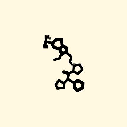 CCn1c(CC[C@@H]2CCCN2C(=O)C(c2ccccc2)C2CCCC2)cc2ccc(C(=N)N)cc21